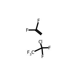 C=C(F)F.FC(F)(F)C(F)(F)Cl